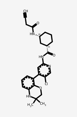 C#CCC(=O)N[C@@H]1CCC[C@H](C(=O)Nc2cc(-c3cccc4c3OCC(C)(C)N4)c(Cl)cn2)C1